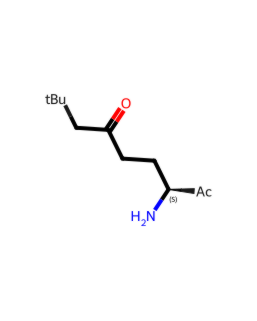 CC(=O)[C@@H](N)CCC(=O)CC(C)(C)C